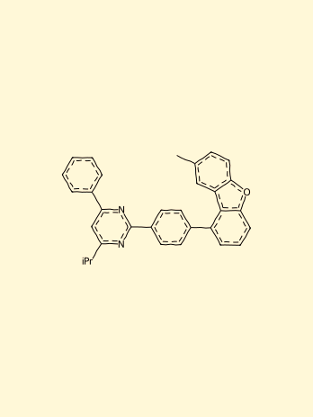 Cc1ccc2oc3cccc(-c4ccc(-c5nc(-c6ccccc6)cc(C(C)C)n5)cc4)c3c2c1